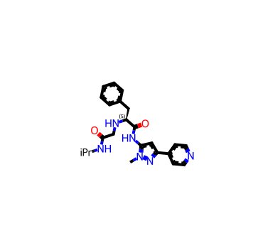 CC(C)NC(=O)CN[C@@H](Cc1ccccc1)C(=O)Nc1cc(-c2ccncc2)nn1C